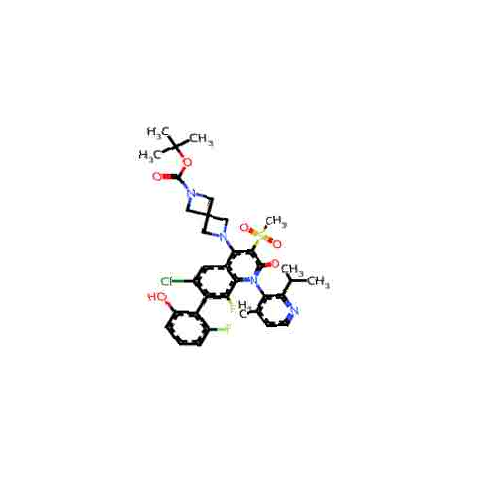 Cc1ccnc(C(C)C)c1-n1c(=O)c(S(C)(=O)=O)c(N2CC3(CN(C(=O)OC(C)(C)C)C3)C2)c2cc(Cl)c(-c3c(O)cccc3F)c(F)c21